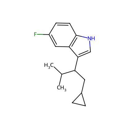 CC(C)[C](CC1CC1)c1c[nH]c2ccc(F)cc12